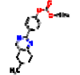 CCCCCCOC(=O)Oc1ccc(-c2ncc3c(n2)CCC(C)C3)cc1